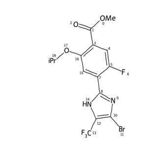 COC(=O)c1cc(F)c(-c2nc(Br)c(C(F)(F)F)[nH]2)cc1OC(C)C